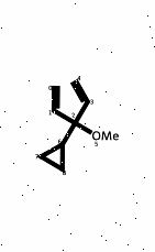 C=CC(C=C)(OC)C1CC1